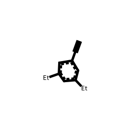 C#Cc1cc(CC)cc(CC)c1